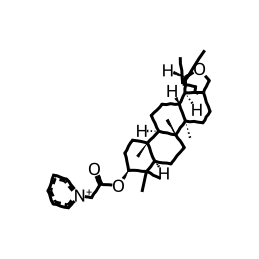 CC1(C)CC[C@]23CC[C@]4(C)[C@H](CC[C@@H]5[C@@]6(C)CC[C@H](OC(=O)C[n+]7ccccc7)C(C)(C)[C@@H]6CC[C@]54C)[C@H]2[C@H]1OC3